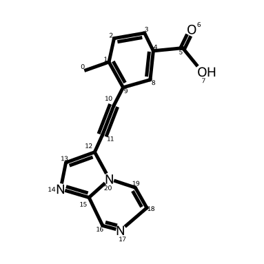 Cc1ccc(C(=O)O)cc1C#Cc1cnc2cnccn12